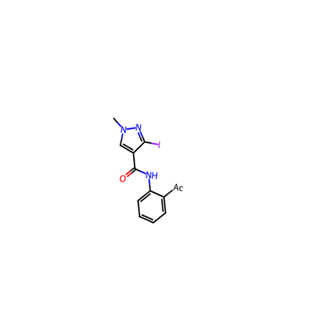 CC(=O)c1ccccc1NC(=O)c1cn(C)nc1I